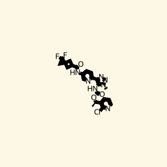 C[C@@H](OC(=O)Nc1c(-c2ccc(NC(=O)C3CC4(C3)CC4(F)F)cn2)nnn1C)c1cccnc1Cl